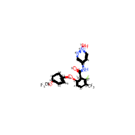 O=C(Nc1cc[n+](O)nc1)c1c(Oc2ccc(OC(F)(F)F)cc2)ccc(C(F)(F)F)c1F